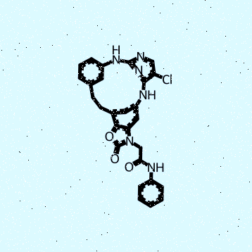 O=C(Cn1c(=O)oc2c3cc(cc21)Nc1nc(ncc1Cl)Nc1cccc(c1)CC3)Nc1ccccc1